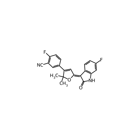 CC1(C)OC(=C2C(=O)Nc3cc(F)ccc32)C=C1c1ccc(F)c(C#N)c1